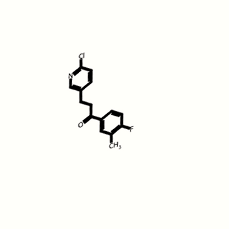 Cc1cc(C(=O)CCc2ccc(Cl)nc2)ccc1F